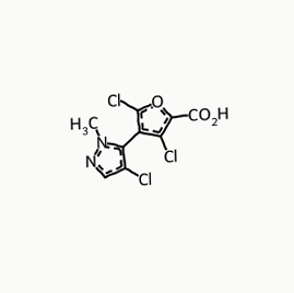 Cn1ncc(Cl)c1-c1c(Cl)oc(C(=O)O)c1Cl